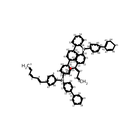 C=C/C=C\C=C\c1ccc(N(c2ccc(-c3ccccc3)cc2)c2ccc(-c3ccc(-c4ccccc4N(c4ccc(C5=CCCC=C5)cc4)c4ccc(/C(C=C)=C/C=C)cc4)cc3)cc2)cc1